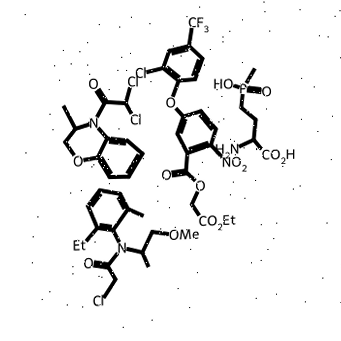 CC1COc2ccccc2N1C(=O)C(Cl)Cl.CCOC(=O)COC(=O)c1cc(Oc2ccc(C(F)(F)F)cc2Cl)ccc1[N+](=O)[O-].CCc1cccc(C)c1N(C(=O)CCl)C(C)COC.CP(=O)(O)CCC(N)C(=O)O